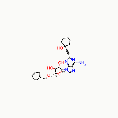 Nc1nc(C#CC2(O)CCCCC2)nc2c1ncn2[C@@H]1O[C@H](COCc2ccccc2)C(O)C1O